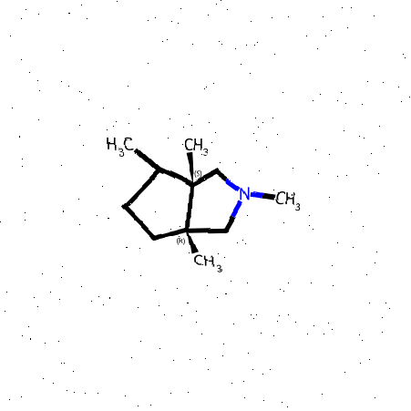 CC1CC[C@@]2(C)CN(C)C[C@@]12C